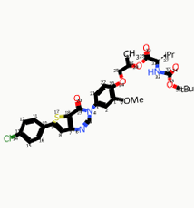 COc1cc(-n2cnc3cc(-c4ccc(Cl)cc4)sc3c2=O)ccc1OCC(C)OC(=O)[C@@H](NC(=O)OC(C)(C)C)C(C)C